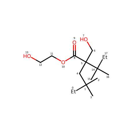 CCC(C)(C)CC(CO)(C(=O)OCCO)C(C)(C)CC